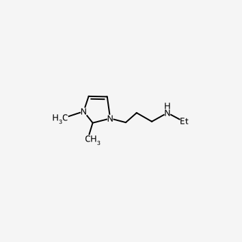 CCNCCCN1C=CN(C)C1C